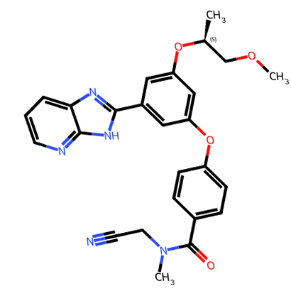 COC[C@H](C)Oc1cc(Oc2ccc(C(=O)N(C)CC#N)cc2)cc(-c2nc3cccnc3[nH]2)c1